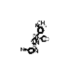 COc1cccc(-c2nc3cnc(-n4cnc5ccc(C#N)cc54)nc3n2C2CCOCC2)c1